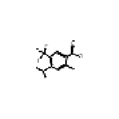 Cc1cc(C(C)C)c(C(F)(F)F)cc1C(=O)Cl